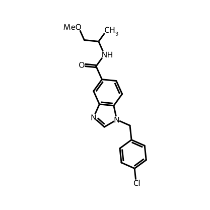 COCC(C)NC(=O)c1ccc2c(c1)ncn2Cc1ccc(Cl)cc1